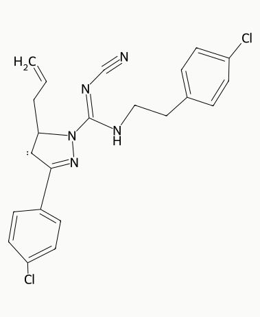 C=CCC1[C]C(c2ccc(Cl)cc2)=NN1C(=NC#N)NCCc1ccc(Cl)cc1